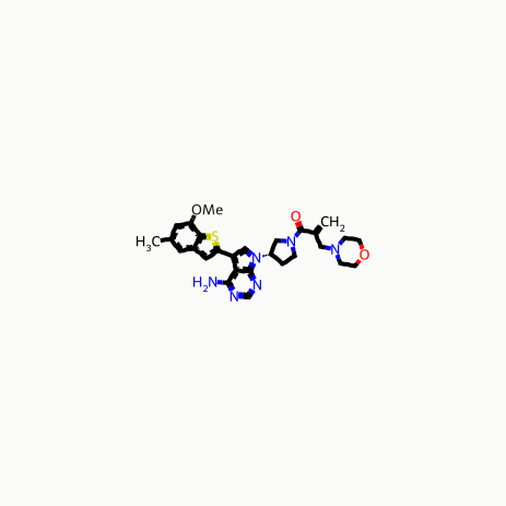 C=C(CN1CCOCC1)C(=O)N1CC[C@H](n2cc(-c3cc4cc(C)cc(OC)c4s3)c3c(N)ncnc32)C1